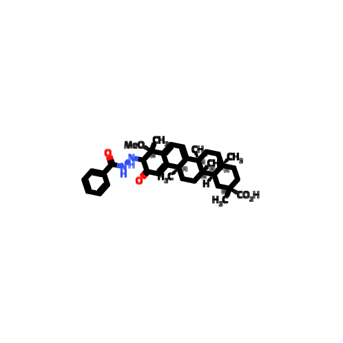 CO[C@@]1(C)C2=CC=C3[C@@](C)(CC[C@@]4(C)[C@@H]5C[C@](C)(C(=O)O)CC[C@]5(C)CC[C@]34C)C2=CC(=O)C1NNC(=O)c1ccccc1